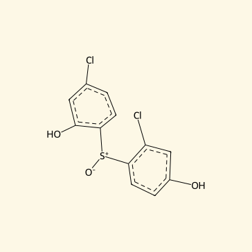 [O-][S+](c1ccc(Cl)cc1O)c1ccc(O)cc1Cl